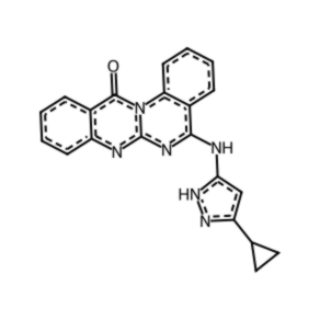 O=c1c2ccccc2nc2nc(Nc3cc(C4CC4)n[nH]3)c3ccccc3n12